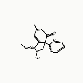 CCON(O)CC1(c2ncccn2)C(=O)C=C(C)C=C1CC